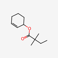 CCC(C)(C)C(=O)OC1C=CCCC1